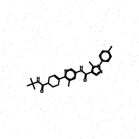 Cc1ccc(-n2ncc(C(=O)Nc3cnc(C4=CCC(C(=O)NC(C)(C)C)CC4)c(C)c3)c2C)cc1